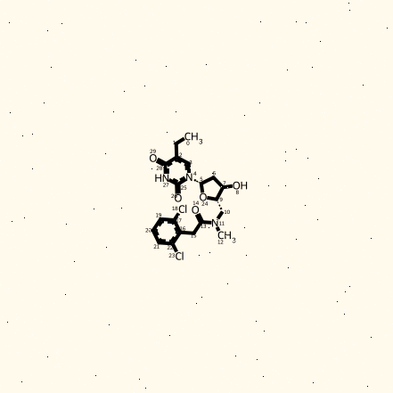 CCc1cn([C@@H]2CC(O)[C@H](CN(C)C(=O)Cc3c(Cl)cccc3Cl)O2)c(=O)[nH]c1=O